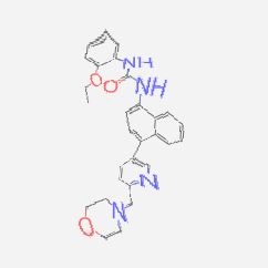 CCOc1ccccc1NC(=O)Nc1ccc(-c2ccc(CN3CCOCC3)nc2)c2ccccc12